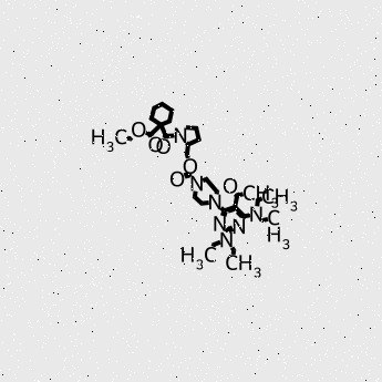 CCOC(=O)C1(C(=O)N2CCCC2COC(=O)N2CCN(c3nc(N(CC)CC)nc(N(CC)CC)c3C(C)=O)CC2)CCCCC1